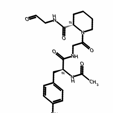 CC(=O)N[C@@H](Cc1ccc(O)cc1)C(=O)NCC(=O)N1CCCC[C@H]1C(=O)NCC=O